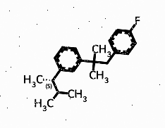 CC(C)[C@H](C)c1cccc(C(C)(C)Cc2ccc(F)cc2)c1